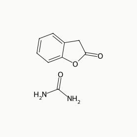 NC(N)=O.O=C1Cc2ccccc2O1